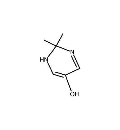 CC1(C)N=CC(O)=CN1